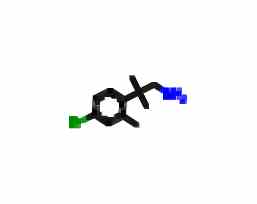 Cc1cc(Br)ccc1C(C)(C)CN